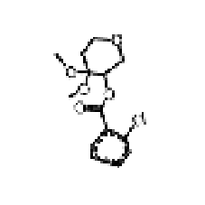 COC1(OC)CCOCC1OC(=O)c1ccccc1Cl